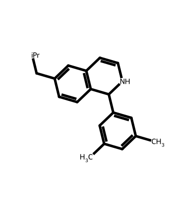 Cc1cc(C)cc(C2NC=Cc3cc(CC(C)C)ccc32)c1